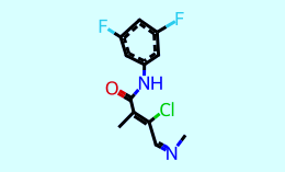 C/N=C\C(Cl)=C(C)C(=O)Nc1cc(F)cc(F)c1